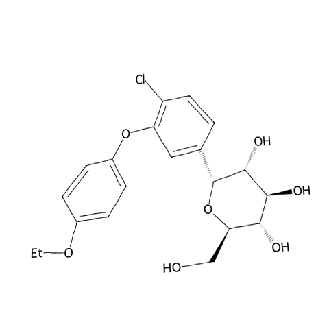 CCOc1ccc(Oc2cc([C@H]3O[C@H](CO)[C@@H](O)[C@H](O)[C@H]3O)ccc2Cl)cc1